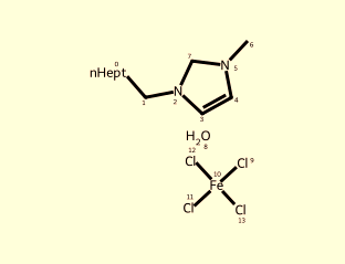 CCCCCCCCN1C=CN(C)C1.O.[Cl][Fe]([Cl])([Cl])[Cl]